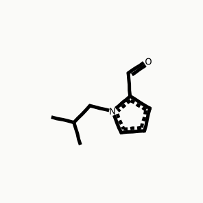 CC(C)Cn1cccc1C=O